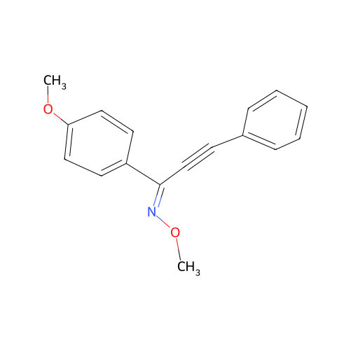 CON=C(C#Cc1ccccc1)c1ccc(OC)cc1